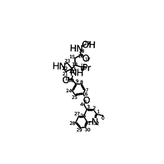 Cc1cc(COc2ccc(C(=O)NC3(C(CC(=O)NO)C(C)C)CNC3)cc2)c2ccccc2n1